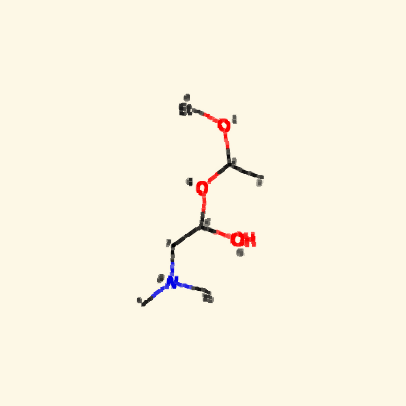 CCOC(C)OC(O)CN(C)C